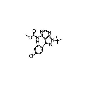 COC(=O)Nc1ncnc2c1c(-c1ccc(Cl)cc1)nn2C(C)(C)C